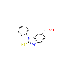 OCc1ccc2nc(S)n(-c3ccccc3)c2c1